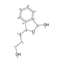 OCCSC1OC(O)c2ccccc21